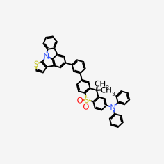 CC1(C)c2cc(-c3cccc(-c4cc5c6ccccc6n6c7sccc7c(c4)c56)c3)ccc2S(=O)(=O)c2ccc(N(c3ccccc3)c3ccccc3)cc21